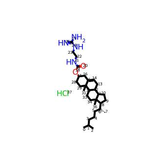 CC(C)CCC[C@@H](C)C1CCC2C3CC=C4CC(OC(=O)NCCNC(=N)N)CCC4(C)C3CCC21C.Cl